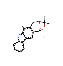 COc1c2c(cc3c1[nH]c1ccccc13)[C@H]1O[C@@H](C2)C(C)(C)O1